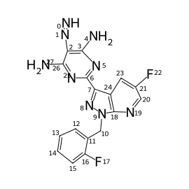 N=Nc1c(N)nc(-c2nn(Cc3ccccc3F)c3ncc(F)cc23)nc1N